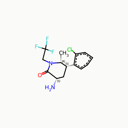 C[C@@H]1[C@H](c2ccccc2Cl)C[C@H](N)C(=O)N1CC(F)(F)F